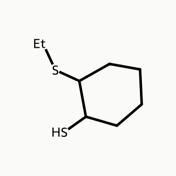 CCSC1CCCCC1S